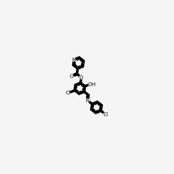 O=C(Oc1cc(Cl)cc(C=Nc2ccc(Cl)cc2)c1O)c1cccnc1